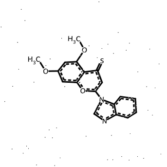 COc1cc(OC)c2c(=S)cc(-n3cnc4ccccc43)oc2c1